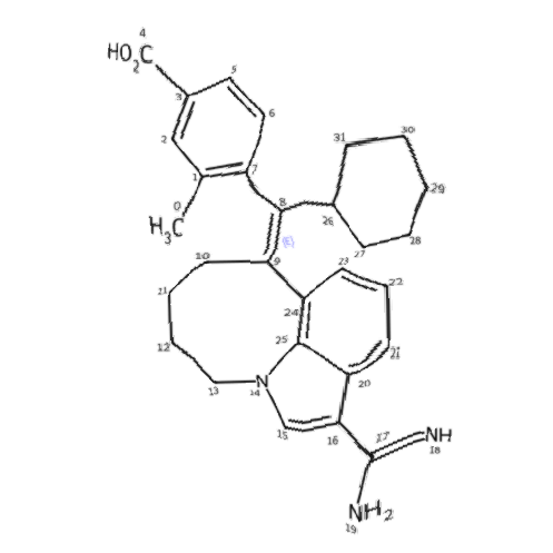 Cc1cc(C(=O)O)ccc1/C(=C1\CCCCn2cc(C(=N)N)c3cccc1c32)C1CCCCC1